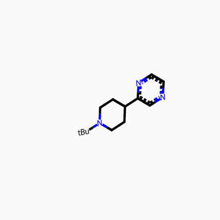 CC(C)(C)N1CCC(c2cnccn2)CC1